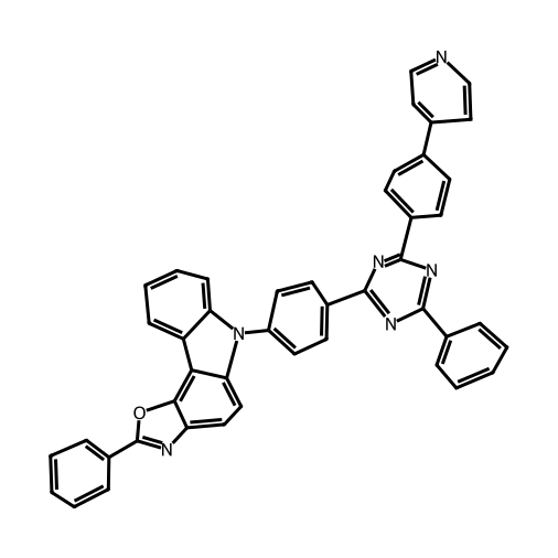 c1ccc(-c2nc(-c3ccc(-c4ccncc4)cc3)nc(-c3ccc(-n4c5ccccc5c5c6oc(-c7ccccc7)nc6ccc54)cc3)n2)cc1